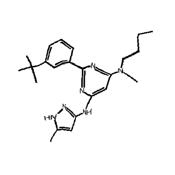 CCCCN(C)c1cc(Nc2cc(C)[nH]n2)nc(-c2cccc(C(C)(C)C)c2)n1